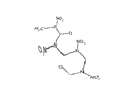 CN(C(Cl)N(CN(CN(CCl)[N+](=O)[O-])[N+](=O)[O-])[N+](=O)[O-])[N+](=O)[O-]